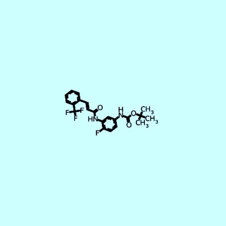 CC(C)(C)OC(=O)Nc1ccc(F)c(NC(=O)C=Cc2ccccc2C(F)(F)F)c1